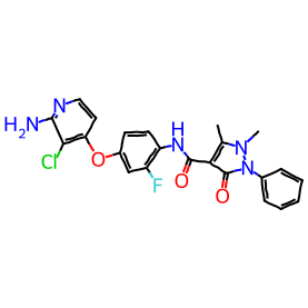 Cc1c(C(=O)Nc2ccc(Oc3ccnc(N)c3Cl)cc2F)c(=O)n(-c2ccccc2)n1C